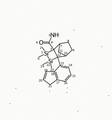 C[Si]1(C)C2(C([NH])=O)C3CCC(C3)C2(c2cccc3c2C=CC3)[Si]1(C)C